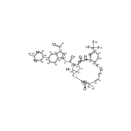 CC(=O)c1nn(CC(=O)N2[C@H]3C[C@@]4(CNC(=O)C(C)(C)C=CCOCc5ccc(C(F)(F)F)nc5NC3=O)C[C@@H]24)c2ccc(-c3cnc(C)nc3)cc12